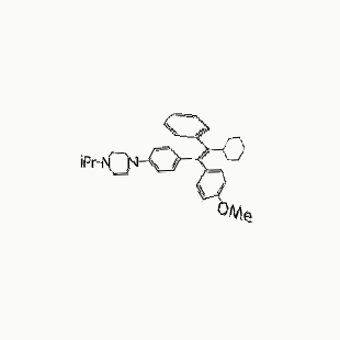 COc1ccc(/C(=C(/c2ccccc2)C2CCCCC2)c2ccc(N3CCN(C(C)C)CC3)cc2)cc1